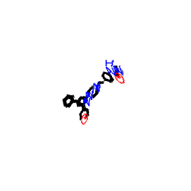 CN(C)C(=O)N[C@H]1CC[C@H](CCN2CCN(c3cc(-c4ccccc4)cc(C4CCOCC4)n3)CC2)CC1